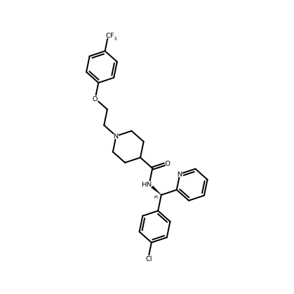 O=C(N[C@H](c1ccc(Cl)cc1)c1ccccn1)C1CCN(CCOc2ccc(C(F)(F)F)cc2)CC1